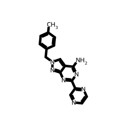 Cc1ccc(Cn2cc3c(N)nc(-c4cnccn4)nc3n2)cc1